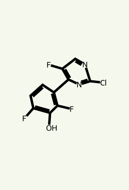 Oc1c(F)ccc(-c2nc(Cl)ncc2F)c1F